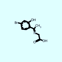 C/C(=N\CC(=O)O)c1ccc(Br)cc1O